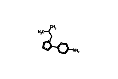 C[C](C)Cn1cccc1-c1ccc(N)cc1